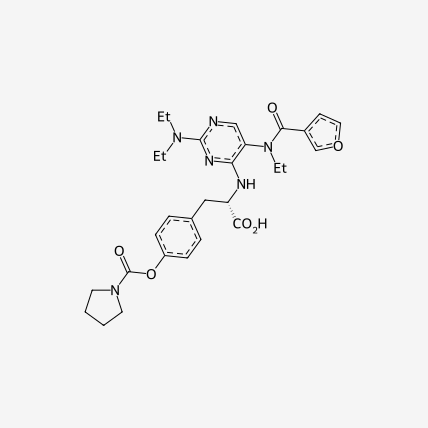 CCN(CC)c1ncc(N(CC)C(=O)c2ccoc2)c(N[C@@H](Cc2ccc(OC(=O)N3CCCC3)cc2)C(=O)O)n1